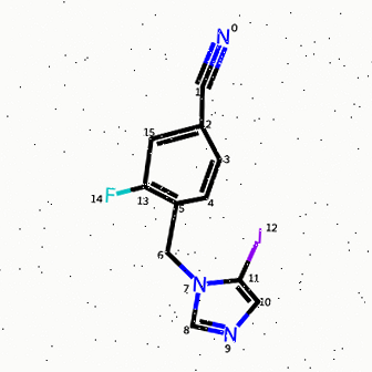 N#Cc1ccc(Cn2cncc2I)c(F)c1